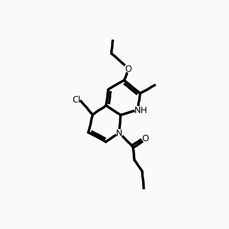 CCCC(=O)N1C=CC(Cl)C2=CC(OCC)=C(C)NC21